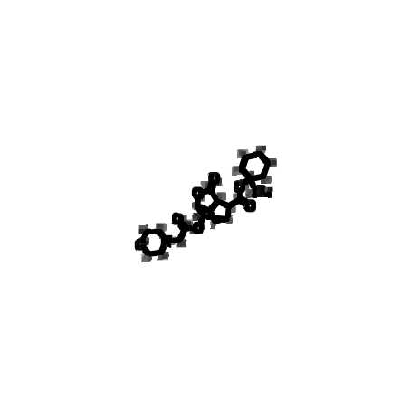 CC(C)(C)C1(OC(=O)C2C3CC4C(OC(=O)C42)C3OC(=O)CN2CCOCC2)CCCCC1